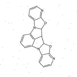 c1cnc2c(c1)N1c3cccc4c3C(C1O2)C1Oc2ncccc2N41